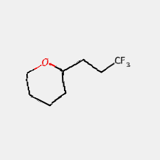 FC(F)(F)CCC1CCCCO1